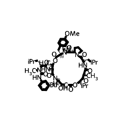 CC[C@H](C)[C@H]1NC(=O)[C@@H](NC(=O)[C@@H](CC(C)C)N(C)C(=O)Nc2ccccc2)[C@@H](C)OC(=O)[C@H](Cc2ccc(OC)cc2)N(C)C(=O)C2CCCN2C(=O)[C@H](CC(C)C)NC(=O)[C@@H](C)C(=O)[C@H](C(C)C)OC(=O)C[C@@H]1O